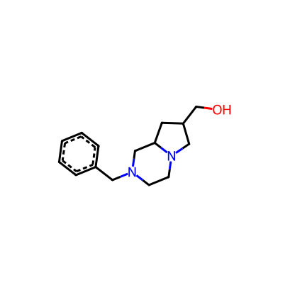 OCC1CC2CN(Cc3ccccc3)CCN2C1